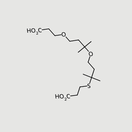 CC(C)(CCOCCC(=O)O)OCCC(C)(C)SCCC(=O)O